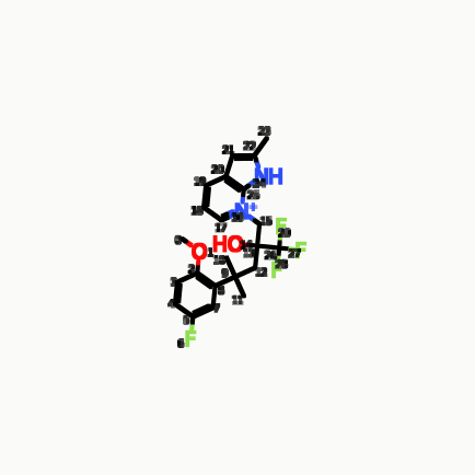 COc1ccc(F)cc1C(C)(C)CC(O)(C[n+]1cccc2cc(C)[nH]c21)C(F)(F)F